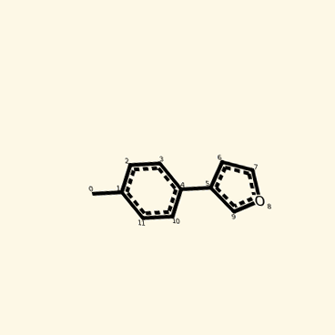 Cc1ccc(-c2ccoc2)cc1